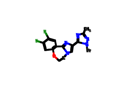 Cc1nc(-c2cn3c(n2)-c2cc(F)c(F)cc2OCC3)n(C(C)C)n1